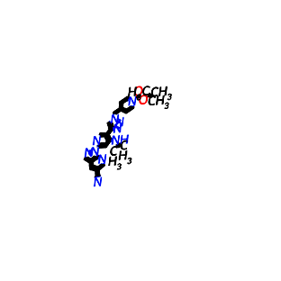 CC(C)Nc1cc(-n2ncc3cc(C#N)cnc32)ncc1-c1cn(CC2CCN(C(=O)OC(C)(C)C)CC2)nn1